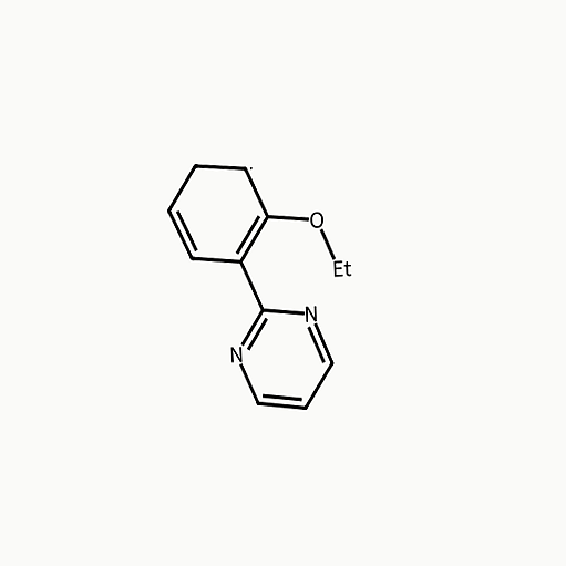 CCOC1=C(c2ncccn2)C=CC[CH]1